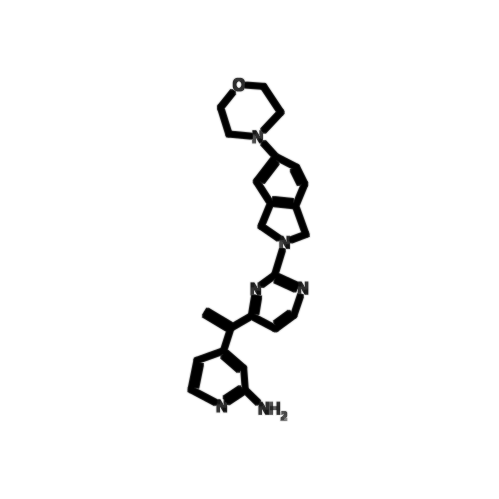 C=C(c1ccnc(N)c1)c1ccnc(N2Cc3ccc(N4CCOCC4)cc3C2)n1